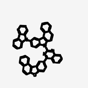 c1ccc2c(c1)ccc1oc3ccc(-c4nc(-n5c6ccc(-n7c8ccccc8c8ccccc87)cc6c6c7ccccc7ccc65)nc5ccccc45)cc3c12